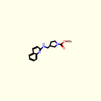 CC(C)(C)OC(=O)N1CCC(CNc2ccc3ccccc3n2)C1